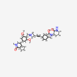 COc1cc(-c2cn(C)c(=O)c3c2CCC3)cc(OC)c1CN1CC(C#Cc2ccc3c(c2)C(=O)N(C2CCCNC2=O)C3)C1